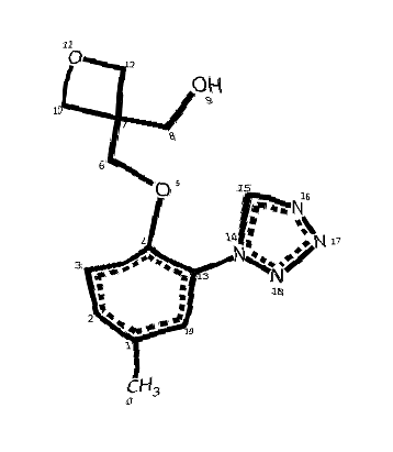 Cc1ccc(OCC2(CO)COC2)c(-n2cnnn2)c1